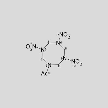 CC(=O)N1CN([N+](=O)[O-])CN([N+](=O)[O-])CN([N+](=O)[O-])C1